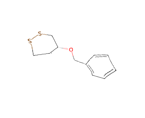 [CH]1CSSC[C@@H]1OCc1ccccc1